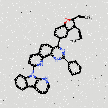 C=Cc1oc2ccc(-c3nc(-c4ccccc4)nc4c3ccc3ccc(-n5c6ccccc6c6cccnc65)nc34)cc2c1/C=C\C